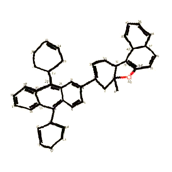 CC12CC(c3ccc4c(C5C=CCCC5)c5ccccc5c(C5CC=CCC5)c4c3)=CCC1C1=C(C=CC3C=CC=CC13)O2